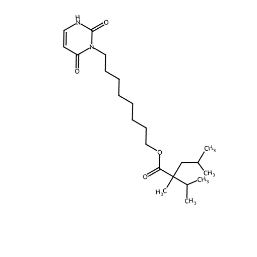 CC(C)CC(C)(C(=O)OCCCCCCCCn1c(=O)cc[nH]c1=O)C(C)C